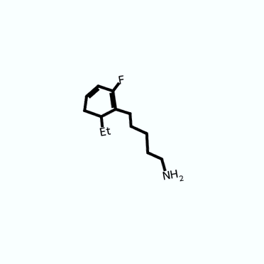 CCC1CC=CC(F)=C1CCCCCN